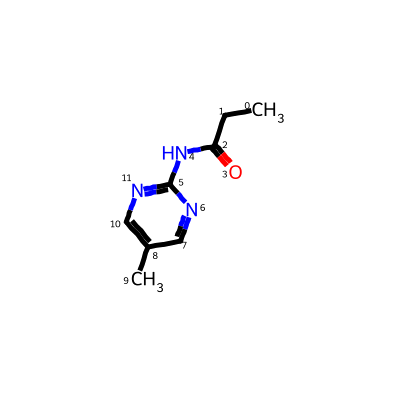 CCC(=O)Nc1ncc(C)cn1